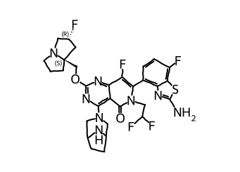 Nc1nc2c(-c3c(F)c4nc(OC[C@@]56CCCN5C[C@H](F)C6)nc(N5CC6CCC(C5)N6)c4c(=O)n3CC(F)F)ccc(F)c2s1